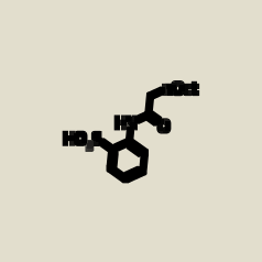 CCCCCCCCCC(=O)Nc1ccccc1S(=O)(=O)O